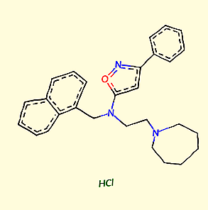 Cl.c1ccc(-c2cc(N(CCN3CCCCCC3)Cc3cccc4ccccc34)on2)cc1